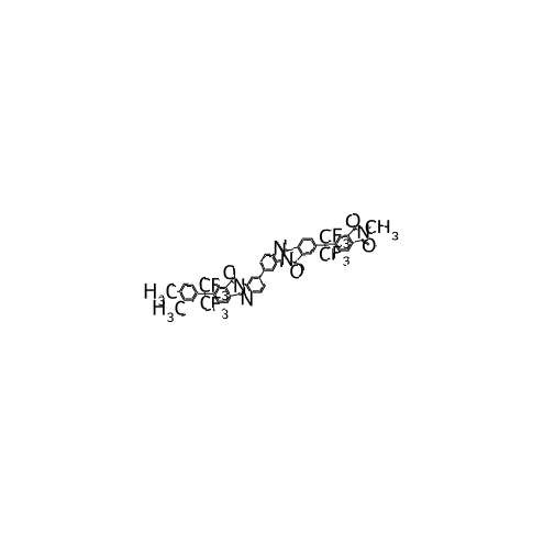 Cc1ccc(C(c2ccc3c(c2)C(=O)n2c-3nc3ccc(-c4ccc5nc6n(c5c4)C(=O)c4cc(C(c5ccc7c(c5)C(=O)N(C)C7=O)(C(F)(F)F)C(F)(F)F)ccc4-6)cc32)(C(F)(F)F)C(F)(F)F)cc1C